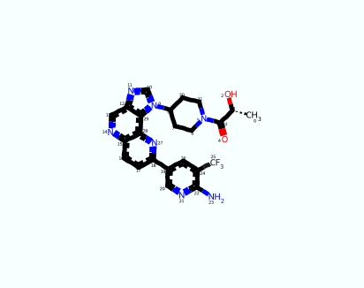 C[C@@H](O)C(=O)N1CCC(n2cnc3cnc4ccc(-c5cnc(N)c(C(F)(F)F)c5)nc4c32)CC1